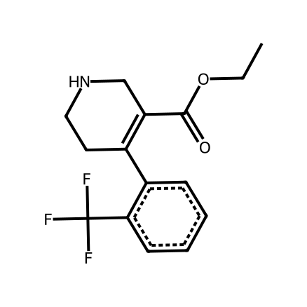 CCOC(=O)C1=C(c2ccccc2C(F)(F)F)CCNC1